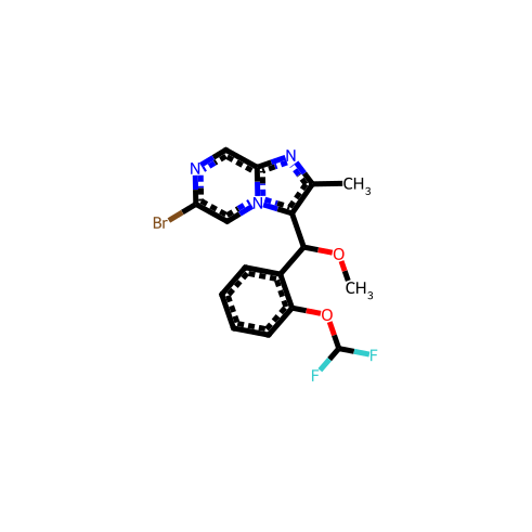 COC(c1ccccc1OC(F)F)c1c(C)nc2cnc(Br)cn12